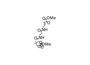 COC(=O)C(=O)SCCNC(=O)CCNC(=O)[C@@H]1OP(=O)(OC)OCC1(C)C